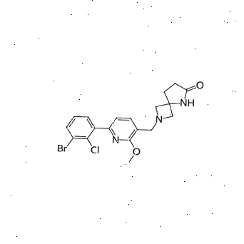 COc1nc(-c2cccc(Br)c2Cl)ccc1CN1CC2(CCC(=O)N2)C1